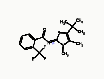 Cc1c(C(C)(C)C)s/c(=N\C(=O)c2ccccc2C(F)(F)F)n1C